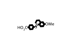 COc1ccc2c(c1)CCCN2Sc1ccc(C(=O)O)cc1